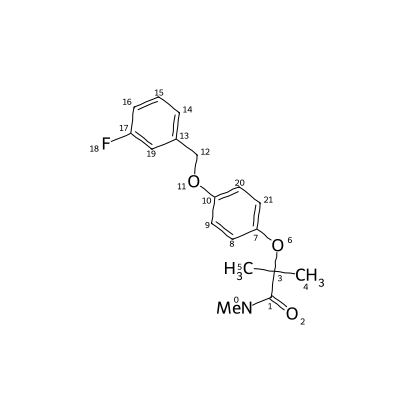 CNC(=O)C(C)(C)Oc1ccc(OCc2cccc(F)c2)cc1